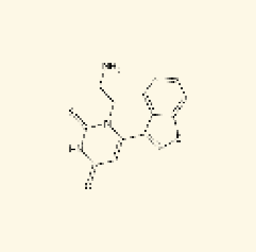 NCCn1c(-c2csc3ccccc23)cc(=O)[nH]c1=S